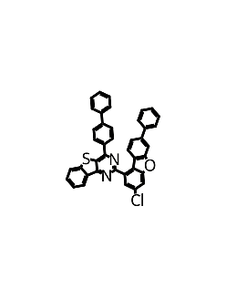 Clc1cc(-c2nc(-c3ccc(-c4ccccc4)cc3)c3sc4ccccc4c3n2)c2c(c1)oc1cc(-c3ccccc3)ccc12